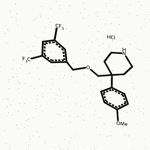 COc1ccc(C2(COCc3cc(C(F)(F)F)cc(C(F)(F)F)c3)CCNCC2)cc1.Cl